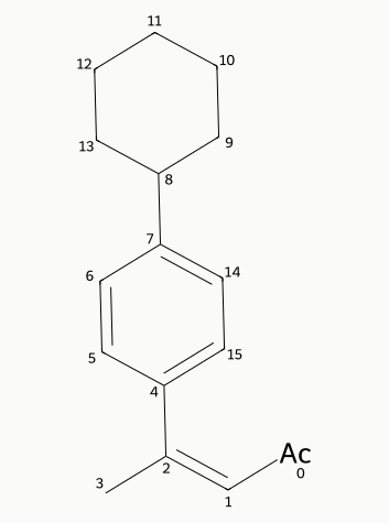 CC(=O)/C=C(/C)c1ccc(C2CCCCC2)cc1